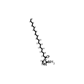 CCCCCCCCCCCCCCCCCCC(=O)n1cnnc1N